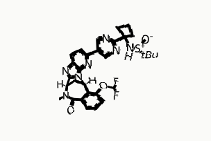 CN1C(=O)c2cccc(OC(F)F)c2[C@H]2C[C@@H]1c1nc3ccc(-c4cnc(C5(N[S+]([O-])C(C)(C)C)CCC5)nc4)nc3n12